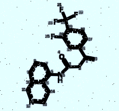 C=C(CC(=O)Nc1cccc2cnccc12)c1ccc(C(F)(F)F)c(F)c1